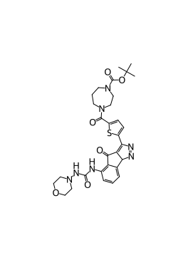 CC(C)(C)OC(=O)N1CCCN(C(=O)c2ccc(C3=C4C(=O)c5c(NC(=O)NN6CCOCC6)cccc5C4N=N3)s2)CC1